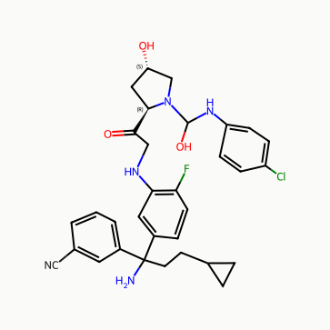 N#Cc1cccc(C(N)(CCC2CC2)c2ccc(F)c(NCC(=O)[C@H]3C[C@H](O)CN3C(O)Nc3ccc(Cl)cc3)c2)c1